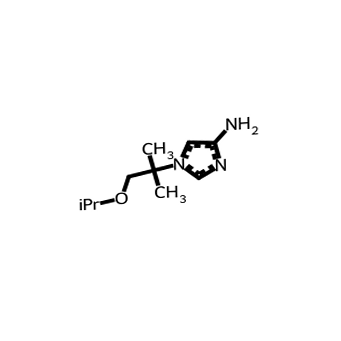 CC(C)OCC(C)(C)n1cnc(N)c1